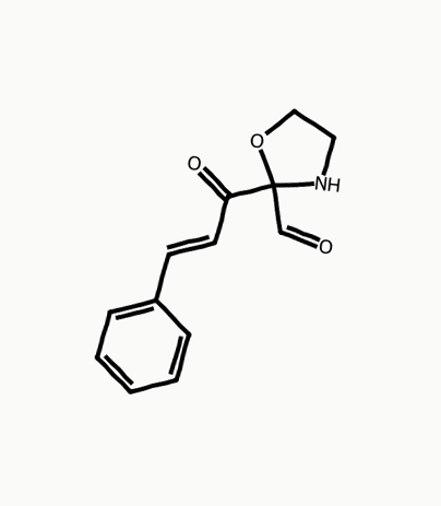 O=CC1(C(=O)C=Cc2ccccc2)NCCO1